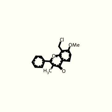 COc1ccc2c(=O)c(C)c(-c3ccccc3)oc2c1CCl